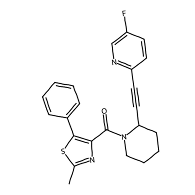 Cc1nc(C(=O)N2CCCCC2C#Cc2ccc(F)cn2)c(-c2ccccc2)s1